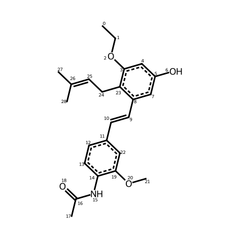 CCOc1cc(O)cc(C=Cc2ccc(NC(C)=O)c(OC)c2)c1CC=C(C)C